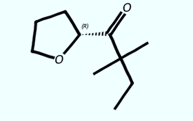 CCC(C)(C)C(=O)[C@H]1CCCO1